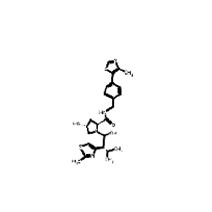 Cc1nc([C@@H](C(C)C)C(O)N2C[C@H](O)C[C@H]2C(=O)NCc2ccc(-c3scnc3C)cc2)cs1